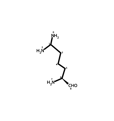 NC(N)CCC[C@H](N)C=O